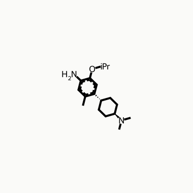 Cc1cc(N)c(OC(C)C)cc1[C@H]1CC[C@H](N(C)C)CC1